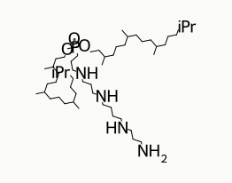 CC(C)CCCC(C)CCCC(C)CCCC(C)CCOP(=O)(CCCNCCCNCCCCNCCCN)OCCC(C)CCCC(C)CCCC(C)CCCC(C)C